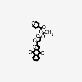 CC(OC(=O)CC(=O)c1cc2c(o1)C(=O)c1ccccc1C2=O)OC(=O)C1CCOCC1